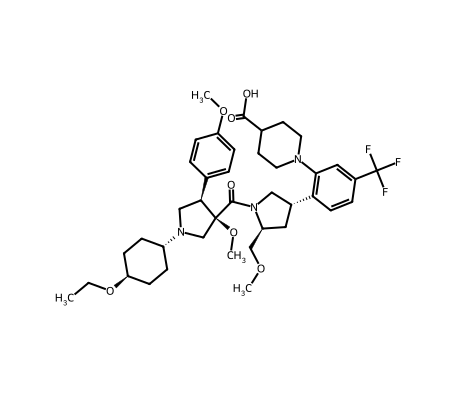 CCO[C@H]1CC[C@H](N2C[C@@H](c3ccc(OC)cc3)[C@](OC)(C(=O)N3C[C@H](c4ccc(C(F)(F)F)cc4N4CCC(C(=O)O)CC4)C[C@H]3COC)C2)CC1